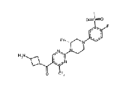 CC(C)[C@@H]1CN(c2ccc(F)c(S(C)(=O)=O)c2)CCN1c1ncc(C(=O)N2CC(N)C2)c(C(F)(F)F)n1